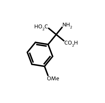 COc1cccc(C(N)(C(=O)O)C(=O)O)c1